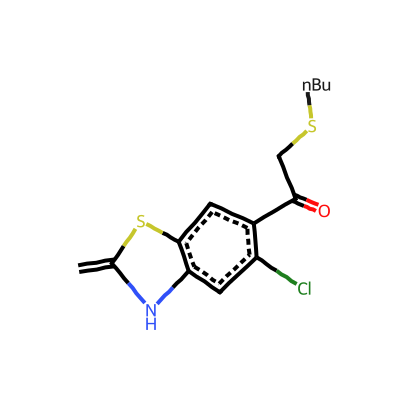 C=C1Nc2cc(Cl)c(C(=O)CSCCCC)cc2S1